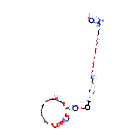 CO[C@H]1C[C@@H]2CC[C@@H](C)[C@@](O)(O2)C(=O)C(=O)N2CCCC[C@H]2C(=O)O[C@H]([C@H](N)C[C@@H]2CC[C@@H](OCc3cccc(-c4cnc(N5CCN(S(=O)(=O)CCc6cn(CCOCCOCCOCCOCCC(=O)NCCCCn7nc(-c8ccc9oc(N)nc9c8)c8c(N)ncnc87)nn6)CC5)nc4)c3)[C@H](OC)C2)CC(=O)[C@H](C)/C=C(\C)[C@@H](O)[C@@H](OC)C(=O)[C@H](C)C[C@H](C)/C=C/C=C/C=C/1C